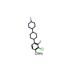 COc1ccc(C2CCC(C3CCC(I)CC3)CC2)c(F)c1Cl